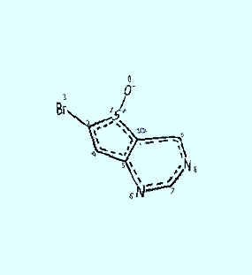 [O-][s+]1c(Br)cc2ncncc21